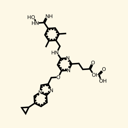 Cc1cc(C(=N)NO)cc(C)c1CNc1cc(OCc2cn3cc(C4CC4)ccc3n2)nc(CCC(=O)O)n1.O=CO